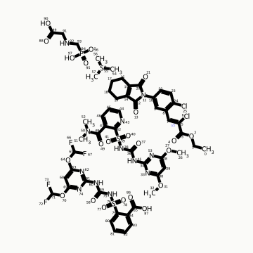 CCOC(=O)/C(Cl)=C/c1cc(N2C(=O)C3=C(CCCC3)C2=O)ccc1Cl.COc1cc(OC)nc(NC(=O)NS(=O)(=O)c2ncccc2C(=O)N(C)C)n1.C[S+](C)C.O=C(Nc1nc(OC(F)F)cc(OC(F)F)n1)NS(=O)(=O)c1ccccc1C(=O)O.O=C(O)CNCP(=O)([O-])O